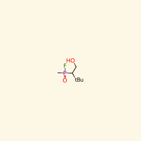 CC(C)(C)C(CO)P(C)(=O)F